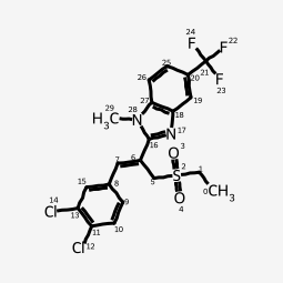 CCS(=O)(=O)C/C(=C\c1ccc(Cl)c(Cl)c1)c1nc2cc(C(F)(F)F)ccc2n1C